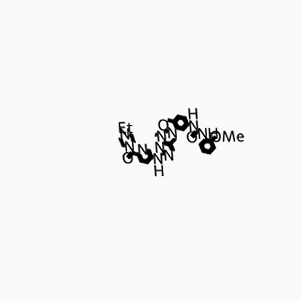 CCN1CCN(C(=O)c2ccc(Nc3ncc4c(n3)N(C)C(=O)N(c3cc(NC(=O)Nc5ccccc5OC)ccc3C)C4)cn2)CC1